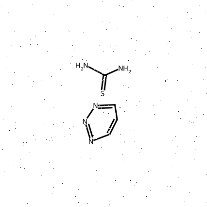 NC(N)=S.c1cnnnc1